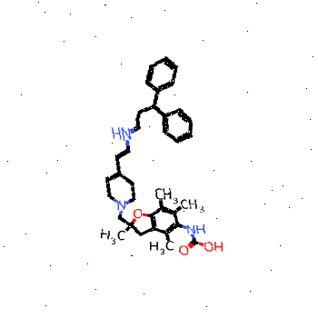 Cc1c(C)c2c(c(C)c1NC(=O)O)CC(C)(CN1CCC(CCNCCC(c3ccccc3)c3ccccc3)CC1)O2